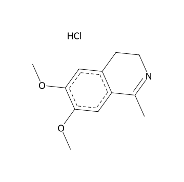 COc1cc2c(cc1OC)C(C)=NCC2.Cl